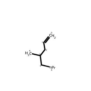 C=CCC(C)CCCC